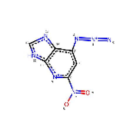 [N-]=[N+]=Nc1cc([N+](=O)[O-])nc2[nH]cnc12